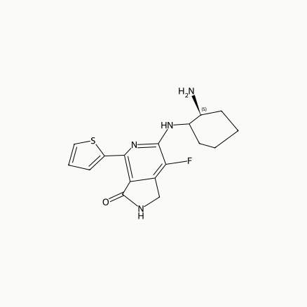 N[C@H]1CCCCC1Nc1nc(-c2cccs2)c2c(c1F)CNC2=O